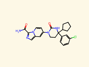 NC(=O)c1ncc2cc(N3CCC(c4cccc(Cl)c4)(C4CCCC4)NC3=O)ccn12